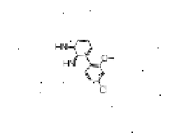 COc1cc(Cl)ccc1C1=CC=CC(=N)C1=N